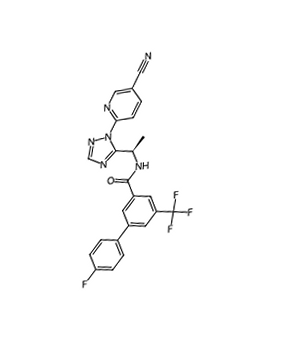 C[C@@H](NC(=O)c1cc(-c2ccc(F)cc2)cc(C(F)(F)F)c1)c1ncnn1-c1ccc(C#N)cn1